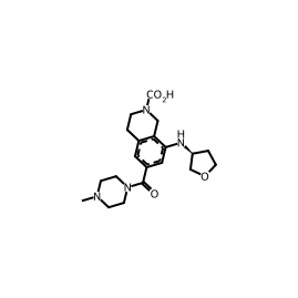 CN1CCN(C(=O)c2cc3c(c(N[C@H]4CCOC4)c2)CN(C(=O)O)CC3)CC1